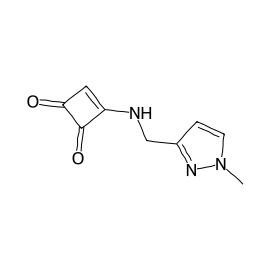 Cn1ccc(CNc2cc(=O)c2=O)n1